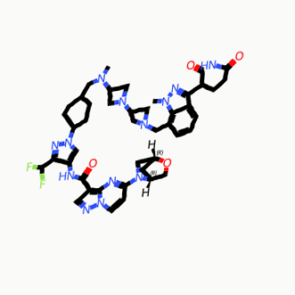 CN(CC1CCC(n2cc(NC(=O)c3cnn4ccc(N5C[C@H]6C[C@@H]5CO6)nc34)c(C(F)F)n2)CC1)C1CN(C2CN(Cc3cccc4c(C5CCC(=O)NC5=O)nn(C)c34)C2)C1